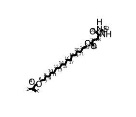 C=C(C)C(=O)OCCCCCCCCCCCCCCCCCCOC(=O)CCC1NC(=S)NC1=O